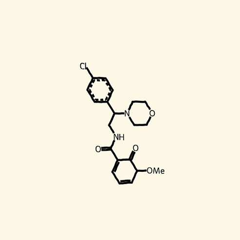 COC1C=CC=C(C(=O)NCC(c2ccc(Cl)cc2)N2CCOCC2)C1=O